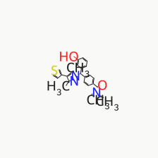 CCN(CC)C(=O)c1ccc(C(c2cccc(O)c2)n2nc(C)c(-c3ccsc3)c2C)cc1